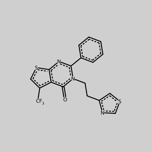 O=c1c2c(C(F)(F)F)csc2nc(-c2ccccc2)n1CCc1cscn1